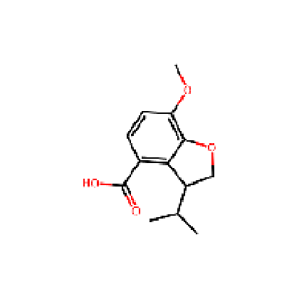 COc1ccc(C(=O)O)c2c1OCC2C(C)C